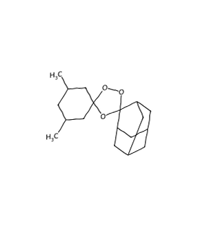 CC1CC(C)CC2(C1)OOC1(O2)C2CC3CC(C2)CC1C3